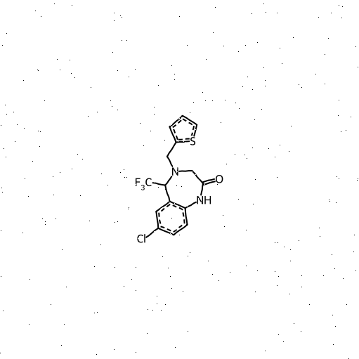 O=C1CN(Cc2cccs2)C(C(F)(F)F)c2cc(Cl)ccc2N1